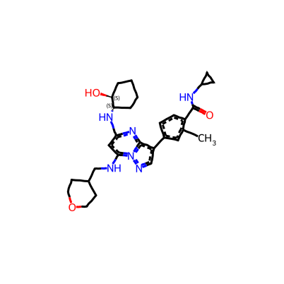 Cc1cc(-c2cnn3c(NCC4CCOCC4)cc(N[C@H]4CCCC[C@@H]4O)nc23)ccc1C(=O)NC1CC1